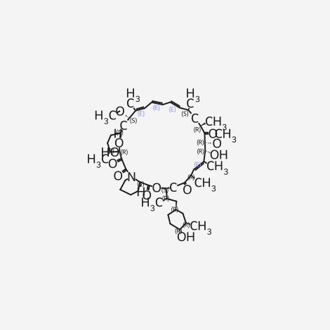 CO[C@H]1C[C@@H]2CC[C@@H](C)[C@@](O)(O2)C(=O)C(=O)N2CCCC[C@H]2C(=O)O[C@H]([C@H](C)C[C@@H]2CC[C@@H](O)[C@H](C)C2)CC(=O)[C@H](C)/C=C(\C)[C@@H](O)[C@@H](OC)C(=O)[C@H](C)C[C@H](C)/C=C/C=C/C=C/1C